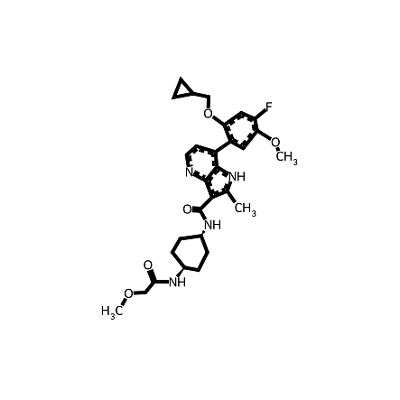 COCC(=O)N[C@H]1CC[C@H](NC(=O)c2c(C)[nH]c3c(-c4cc(OC)c(F)cc4OCC4CC4)ccnc23)CC1